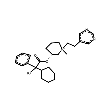 C[N+]1(CCc2cncnc2)CCC[C@@H](OC(=O)C(O)(c2ccccc2)C2CCCCC2)C1